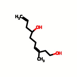 C=CCC(O)CCC=C(C)CCO